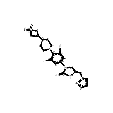 O=C1OC(Cn2ccnn2)CN1c1cc(F)c(N2CCC(C3CS(=O)(=O)C3)CC2)c(F)c1